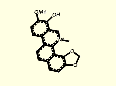 COc1ccc2c(c[n+](C)c3c2ccc2ccc4c(c23)OCO4)c1O